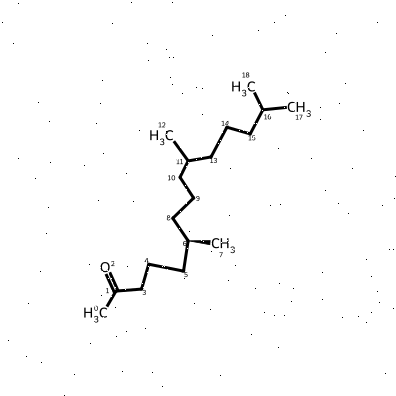 CC(=O)CCC[C@H](C)CCCC(C)CCCC(C)C